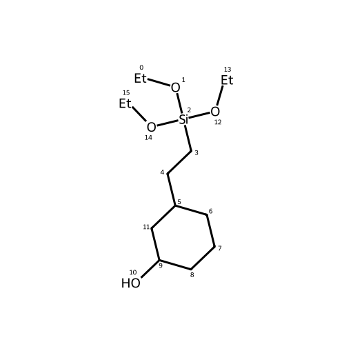 CCO[Si](CCC1CCCC(O)C1)(OCC)OCC